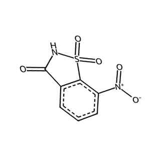 O=C1NS(=O)(=O)c2c1cccc2[N+](=O)[O-]